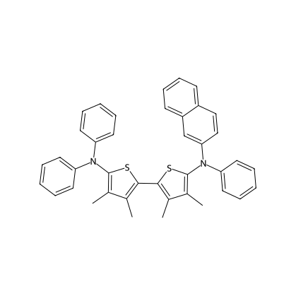 Cc1c(-c2sc(N(c3ccccc3)c3ccc4ccccc4c3)c(C)c2C)sc(N(c2ccccc2)c2ccccc2)c1C